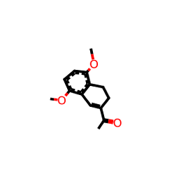 COc1ccc(OC)c2c1C=C(C(C)=O)CC2